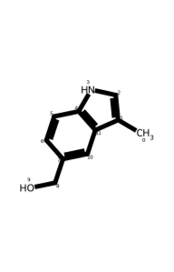 Cc1c[nH]c2ccc(CO)cc12